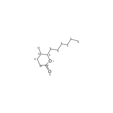 CCCCCCC1OC(=O)CCC1C